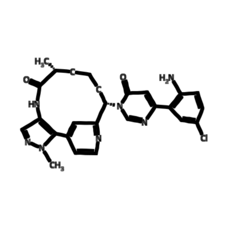 C[C@@H]1CCC[C@H](n2cnc(-c3cc(Cl)ccc3N)cc2=O)c2cc(ccn2)-c2c(cnn2C)NC1=O